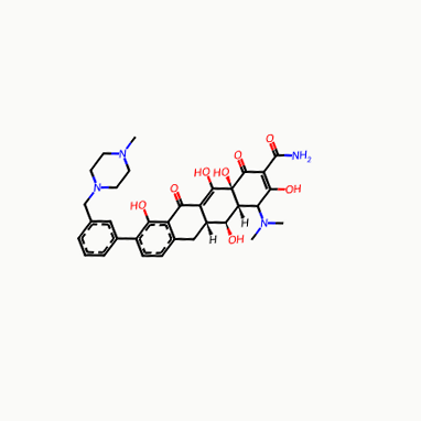 CN1CCN(Cc2cccc(-c3ccc4c(c3O)C(=O)C3=C(O)[C@]5(O)C(=O)C(C(N)=O)=C(O)C(N(C)C)[C@@H]5[C@@H](O)[C@@H]3C4)c2)CC1